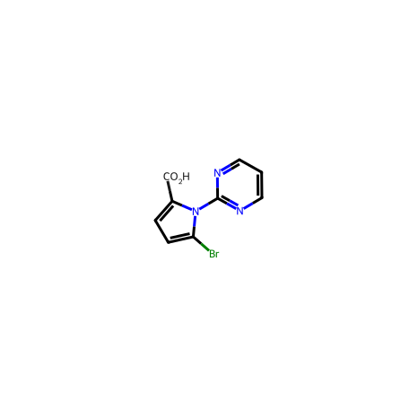 O=C(O)c1ccc(Br)n1-c1ncccn1